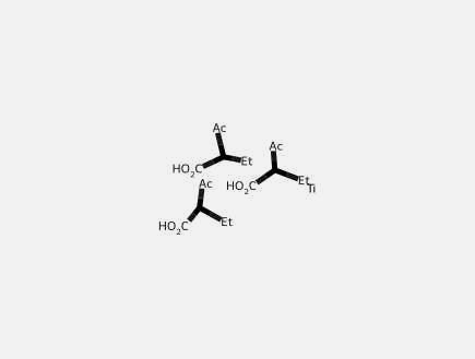 CCC(C(C)=O)C(=O)O.CCC(C(C)=O)C(=O)O.CCC(C(C)=O)C(=O)O.[Ti]